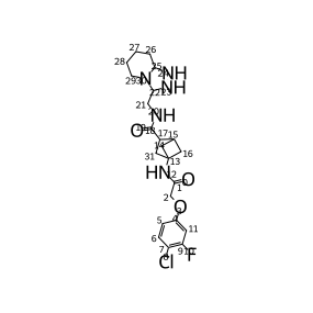 O=C(COc1ccc(Cl)c(F)c1)NC12CC(C1)C(C(=O)NCC1NNC3CCCCN31)C2